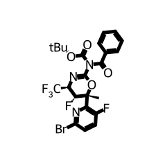 CC(C)(C)OC(=O)N(C(=O)c1ccccc1)C1=N[C@H](C(F)(F)F)[C@@H](F)[C@@](C)(c2nc(Br)ccc2F)O1